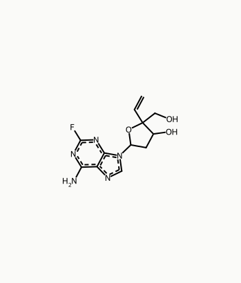 C=CC1(CO)OC(n2cnc3c(N)nc(F)nc32)CC1O